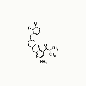 CC(C)C(=O)c1cc(N)nc(CC2CCN(Cc3cccc(Cl)c3F)CC2)c1F